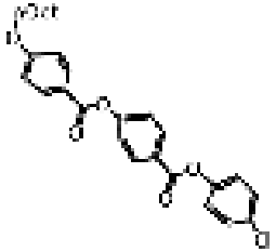 CCCCCCCCOc1ccc(C(=O)Oc2ccc(C(=O)Oc3ccc(Cl)cc3)cc2)cc1